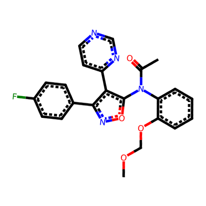 COCOc1ccccc1N(C(C)=O)c1onc(-c2ccc(F)cc2)c1-c1ccncn1